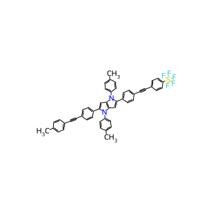 Cc1ccc(C#Cc2ccc(-c3cc4c(cc(-c5ccc(C#Cc6ccc(S(F)(F)(F)(F)F)cc6)cc5)n4-c4ccc(C)cc4)n3-c3ccc(C)cc3)cc2)cc1